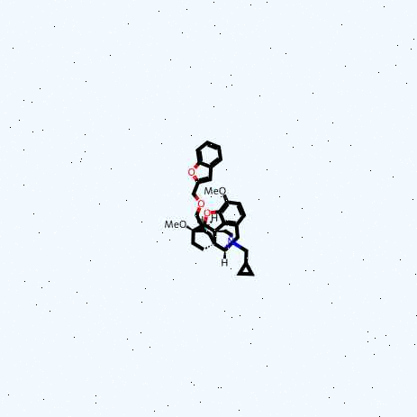 COc1ccc2c3c1O[C@H]1[C@@]4(OC)CC[C@@]5(C[C@@H]4COCc4cc6ccccc6o4)[C@@H](C2)N(CC2CC2)CC[C@]315